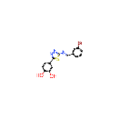 Oc1ccc(-c2nnc(N=Cc3cccc(Br)c3)s2)cc1O